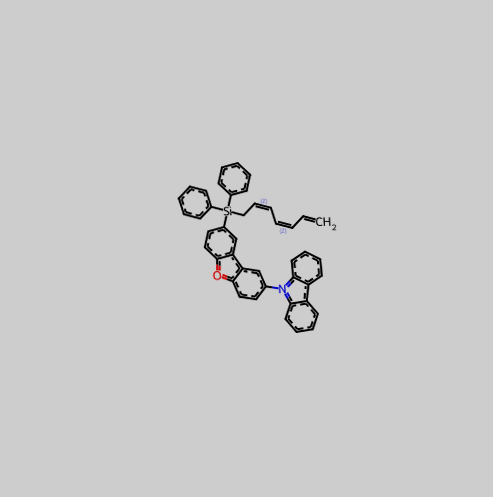 C=C/C=C\C=C/C[Si](c1ccccc1)(c1ccccc1)c1ccc2oc3ccc(-n4c5ccccc5c5ccccc54)cc3c2c1